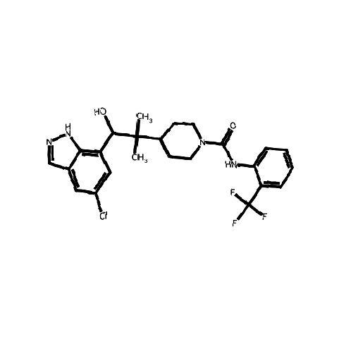 CC(C)(C1CCN(C(=O)Nc2ccccc2C(F)(F)F)CC1)C(O)c1cc(Cl)cc2cn[nH]c12